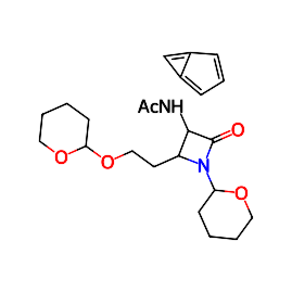 CC(=O)NC1C(=O)N(C2CCCCO2)C1CCOC1CCCCO1.c1cc2cc-2c1